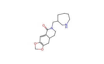 O=C1C2=CC3=C(CC2CCN1CC1CCCCNC1)OCO3